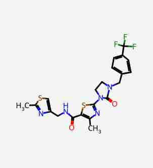 Cc1nc(CNC(=O)c2sc(N3CCN(Cc4ccc(C(F)(F)F)cc4)C3=O)nc2C)cs1